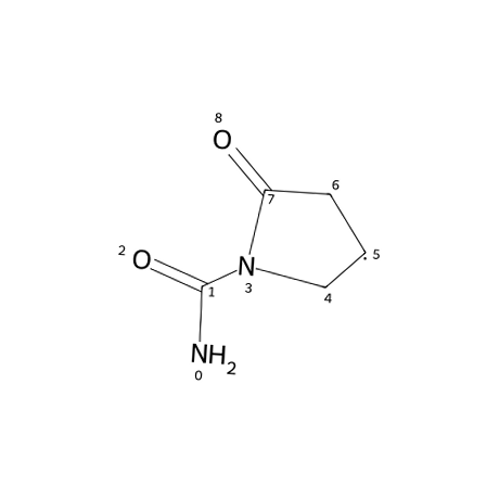 NC(=O)N1C[CH]CC1=O